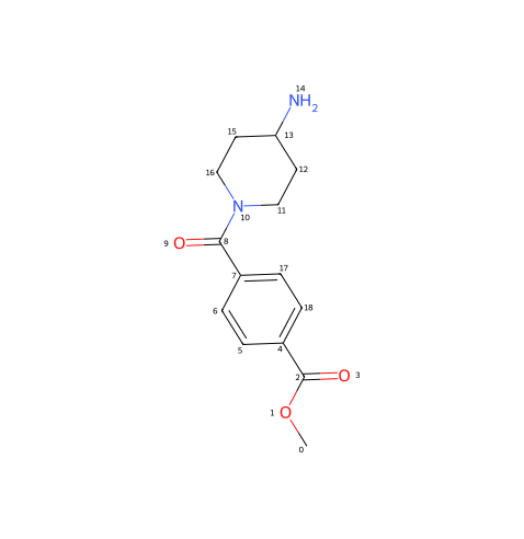 COC(=O)c1ccc(C(=O)N2CCC(N)CC2)cc1